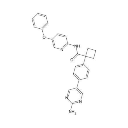 Nc1ncc(-c2ccc(C3(C(=O)Nc4ccc(Oc5ccccc5)cn4)CCC3)cc2)cn1